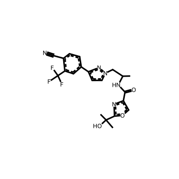 CC(Cn1ccc(-c2ccc(C#N)c(C(F)(F)F)c2)n1)NC(=O)c1coc(C(C)(C)O)n1